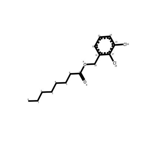 CCCCCCCC(=O)OCc1cccc(Cl)c1Cl